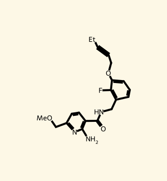 CCC#CCOc1cccc(CNC(=O)c2ccc(COC)nc2N)c1F